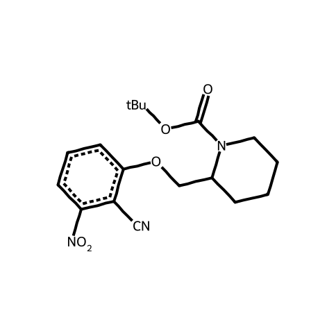 CC(C)(C)OC(=O)N1CCCCC1COc1cccc([N+](=O)[O-])c1C#N